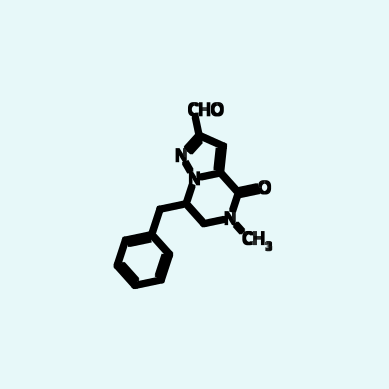 CN1CC(Cc2ccccc2)n2nc(C=O)cc2C1=O